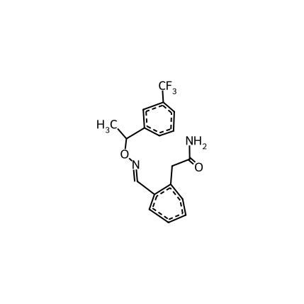 CC(ON=Cc1ccccc1CC(N)=O)c1cccc(C(F)(F)F)c1